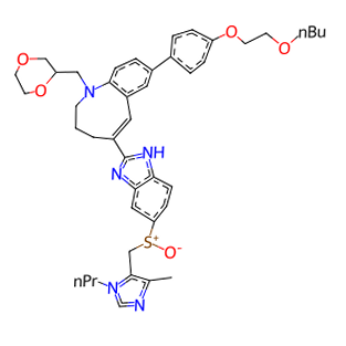 CCCCOCCOc1ccc(-c2ccc3c(c2)/C=C(/c2nc4cc([S+]([O-])Cc5c(C)ncn5CCC)ccc4[nH]2)CCCN3CC2COCCO2)cc1